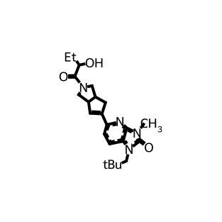 CCC(O)C(=O)N1CC2C=C(c3ccc4c(n3)n(C)c(=O)n4CC(C)(C)C)CC2C1